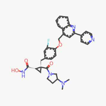 CN(C)C1CCN(C(=O)[C@@]2(Cc3ccc(OCc4cc(-c5ccncc5)nc5ccccc45)c(F)c3)C[C@@H]2C(=O)NO)C1